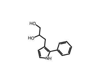 OCC(O)Cc1cc[nH]c1-c1ccccc1